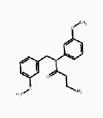 COc1cccc(CN(C(=O)CCN)c2cccc(OC)c2)c1